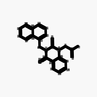 C=C(C)Cn1c(=O)n(Cc2cccc3ccccc23)c(=O)c2ccccc21